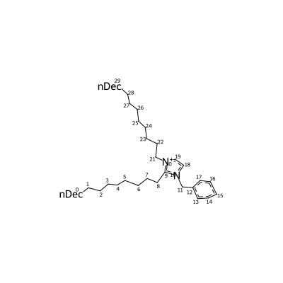 CCCCCCCCCCCCCCCCCCc1n(Cc2ccccc2)cc[n+]1CCCCCCCCCCCCCCCCCC